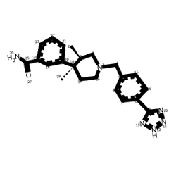 C[C@H]1CN(Cc2ccc(-c3nn[nH]n3)cc2)CC[C@@]1(C)c1cccc(C(N)=O)c1